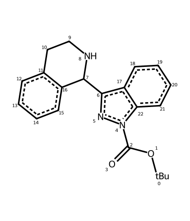 CC(C)(C)OC(=O)n1nc(C2NCCc3ccccc32)c2ccccc21